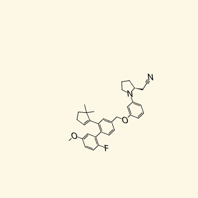 COc1ccc(F)c(-c2ccc(COc3cccc(N4CCC[C@H]4CC#N)c3)cc2C2=CCCC2(C)C)c1